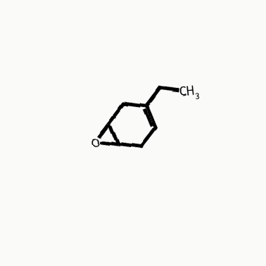 CCC1=CCC2OC2C1